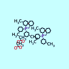 CC(=O)[O-].CC(=O)[O-].Cc1cccc([P+](Cc2ccccc2)(c2cccc(C)c2)c2cccc(C)c2)c1.Cc1cccc([P+](Cc2ccccc2)(c2cccc(C)c2)c2cccc(C)c2)c1